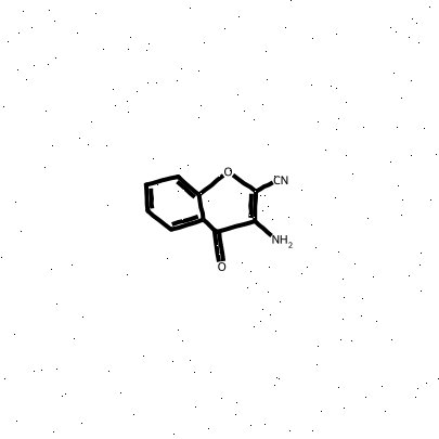 N#Cc1oc2ccccc2c(=O)c1N